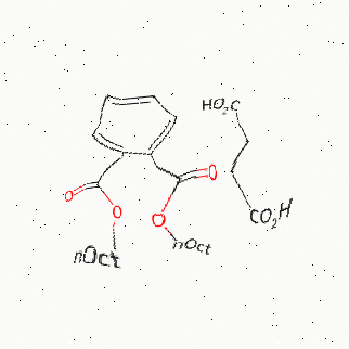 CCCCCCCCOC(=O)c1ccccc1C(=O)OCCCCCCCC.O=C(O)CCC(=O)O